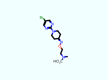 CN(CCON=C1CCN(c2ncc(Br)cn2)CC1)C(=O)O